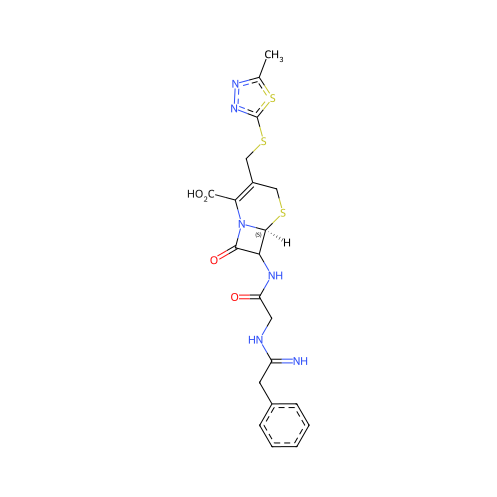 Cc1nnc(SCC2=C(C(=O)O)N3C(=O)C(NC(=O)CNC(=N)Cc4ccccc4)[C@@H]3SC2)s1